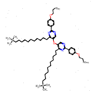 CCCCCCCCCCCCOc1ccc(-c2ncc(Oc3cnc(-c4ccc(OCCCCCCCCCCCC)cc4)nc3CCCCCCCCCCC[Si](C)(C)C)c(CCCCCCCCCCC[Si](C)(C)C)n2)cc1